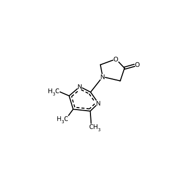 Cc1nc(N2COC(=O)C2)nc(C)c1C